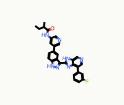 CCC(C)C(=O)Nc1cncc(-c2ccc3[nH]nc(-c4nc5c(-c6cccc(F)c6)cncc5[nH]4)c3c2)c1